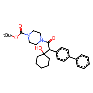 CC(C)(C)OC(=O)N1CCN(C(=O)C(c2ccc(-c3ccccc3)cc2)C2(O)CCCCC2)CC1